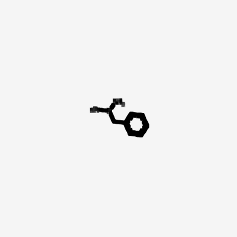 CCCN(N)Cc1ccccc1